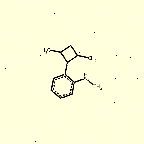 CNc1ccccc1C1C(C)CC1C